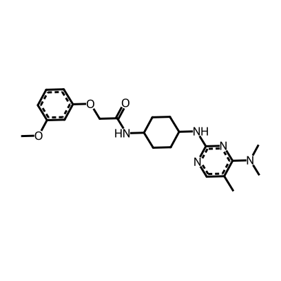 COc1cccc(OCC(=O)NC2CCC(Nc3ncc(C)c(N(C)C)n3)CC2)c1